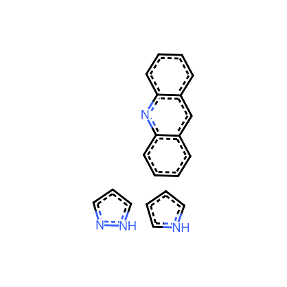 c1cc[nH]c1.c1ccc2nc3ccccc3cc2c1.c1cn[nH]c1